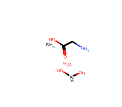 NCC(=O)O.O.[AlH3].[OH][AlH][OH]